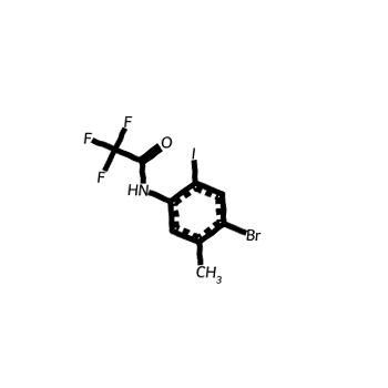 Cc1cc(NC(=O)C(F)(F)F)c(I)cc1Br